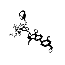 C[C@@](CCn1cc(F)c2cc(-c3ccc(C=O)cc3F)ccc2c1=O)(C(=O)NOC1CCCCO1)S(C)(=O)=O